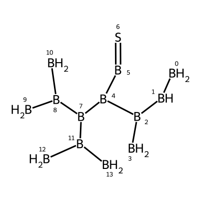 BBB(B)B(B=S)B(B(B)B)B(B)B